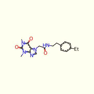 CCc1ccc(CCNC(=O)Cn2cnc3c2c(=O)n(C)c(=O)n3C)cc1